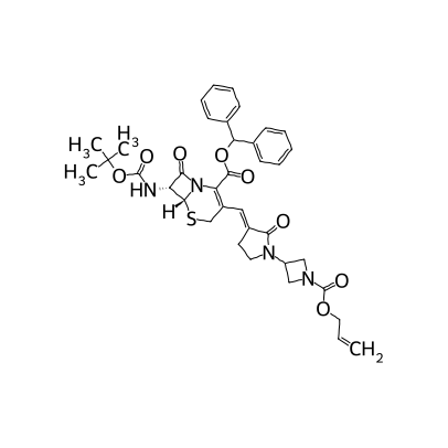 C=CCOC(=O)N1CC(N2CCC(=CC3=C(C(=O)OC(c4ccccc4)c4ccccc4)N4C(=O)[C@@H](NC(=O)OC(C)(C)C)[C@H]4SC3)C2=O)C1